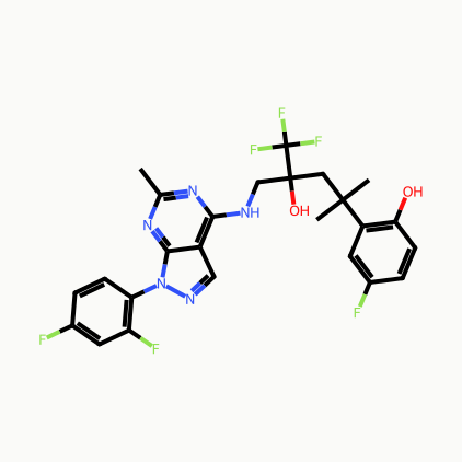 Cc1nc(NCC(O)(CC(C)(C)c2cc(F)ccc2O)C(F)(F)F)c2cnn(-c3ccc(F)cc3F)c2n1